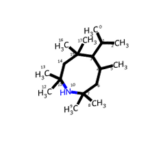 CC(C)C1C(C)CC(C)(C)NC(C)(C)CC1(C)C